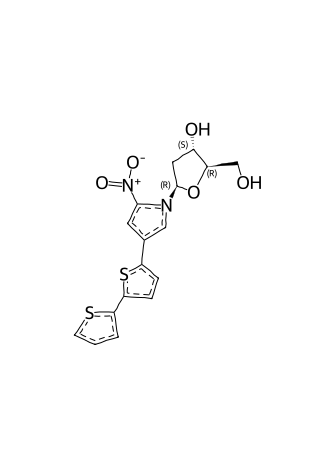 O=[N+]([O-])c1cc(-c2ccc(-c3cccs3)s2)cn1[C@H]1C[C@H](O)[C@@H](CO)O1